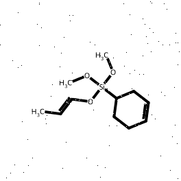 CC=CO[Si](OC)(OC)C1CC=CCC1